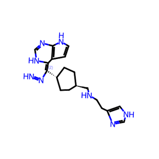 N=N/C(=C1\NC=Nc2[nH]ccc21)[C@H]1CC[C@H](CNCCc2c[nH]cn2)CC1